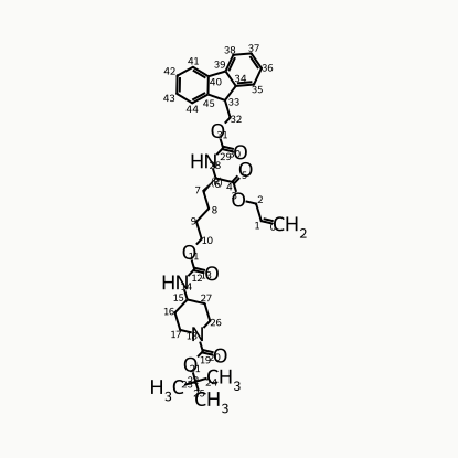 C=CCOC(=O)[C@@H](CCCCOC(=O)NC1CCN(C(=O)OC(C)(C)C)CC1)NC(=O)OCC1c2ccccc2-c2ccccc21